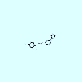 COc1cc(C#N)ccc1OCCOc1cccc(-c2cncs2)c1